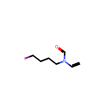 C=CN(C=O)CCCCI